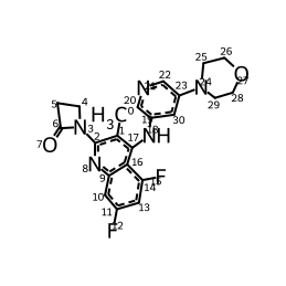 Cc1c(N2CCC2=O)nc2cc(F)cc(F)c2c1Nc1cncc(N2CCOCC2)c1